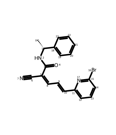 C[C@@H](NC(=O)C(C#N)=CC=Cc1cccc(Br)n1)c1ccccc1